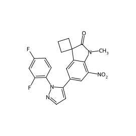 CN1C(=O)C2(CCC2)c2cc(-c3ccnn3-c3ccc(F)cc3F)cc([N+](=O)[O-])c21